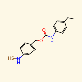 CCc1ccc(NC(=O)OCc2ccc(NS)cc2)cc1